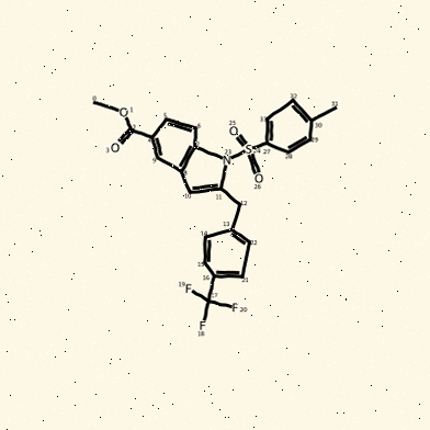 COC(=O)c1ccc2c(c1)cc(Cc1ccc(C(F)(F)F)cc1)n2S(=O)(=O)c1ccc(C)cc1